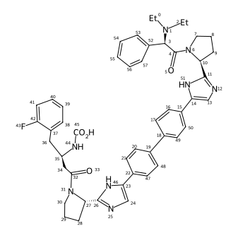 CCN(CC)[C@@H](C(=O)N1CCC[C@H]1c1ncc(-c2ccc(-c3ccc(-c4cnc([C@@H]5CCCN5C(=O)C[C@@H](Cc5ccccc5F)NC(=O)O)[nH]4)cc3)cc2)[nH]1)c1ccccc1